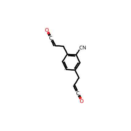 N#Cc1cc(CC=C=O)[c]cc1CC=C=O